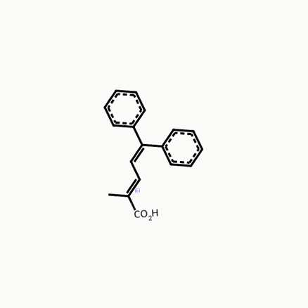 C/C(=C\C=C(c1ccccc1)c1ccccc1)C(=O)O